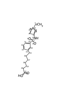 CCn1ncc(NS(=O)(=O)c2cccc(CCCCCCC(=O)O)c2)n1